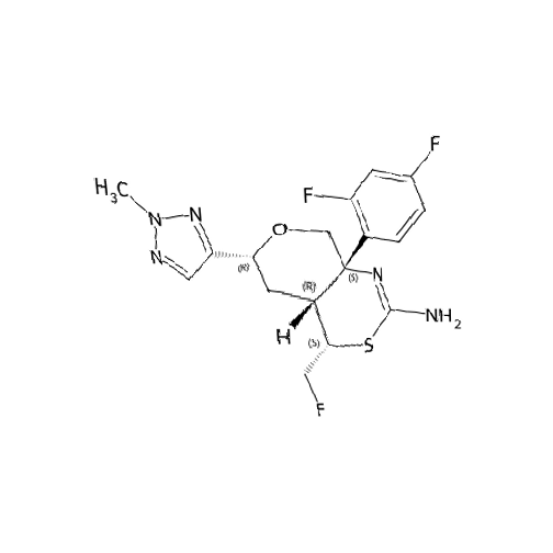 Cn1ncc([C@H]2C[C@H]3[C@@H](CF)SC(N)=N[C@@]3(c3ccc(F)cc3F)CO2)n1